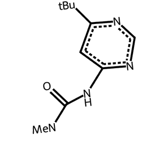 CNC(=O)Nc1cc(C(C)(C)C)ncn1